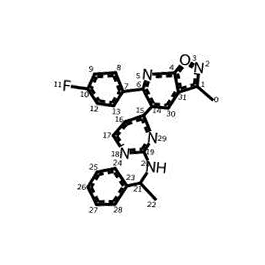 Cc1noc2nc(-c3ccc(F)cc3)c(-c3ccnc(NC(C)c4ccccc4)n3)cc12